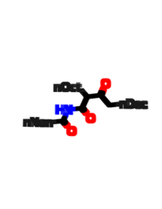 CCCCCCCCCCCC(=O)C(CCCCCCCC)C(=O)NC(=O)CCCCCCCCC